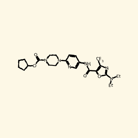 CCN(CC)c1nc(C(F)(F)F)c(C(=O)Nc2ccc(N3CCN(C(=O)OC4CCCC4)CC3)nc2)o1